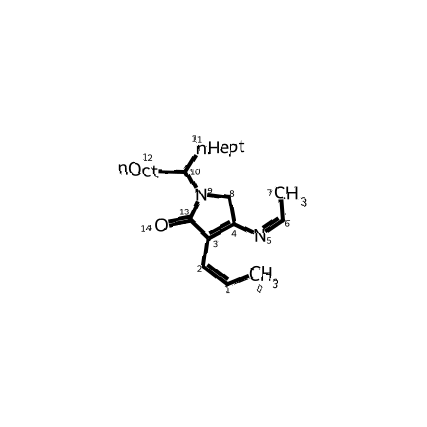 C/C=C\C1=C(/N=C\C)CN(C(CCCCCCC)CCCCCCCC)C1=O